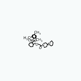 Cc1cc(C)c(S(=O)(=O)N2CCCCC2COCC(=O)N2CCC(N3CCCCC3)CC2)c(C)c1